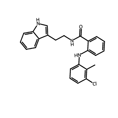 Cc1c(Cl)cccc1Nc1ccccc1C(=O)NCCc1c[nH]c2ccccc12